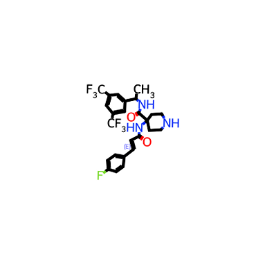 CC(NC(=O)C1(NC(=O)/C=C/c2ccc(F)cc2)CCNCC1)c1cc(C(F)(F)F)cc(C(F)(F)F)c1